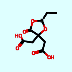 CCB1OC(=O)C(CC(=O)O)(CC(=O)O)O1